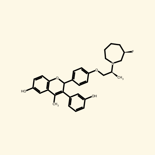 CC1=C(c2cccc(O)c2)C(c2ccc(OC[C@H](C)N3CCCC[C@@H](F)C3)cc2)Oc2ccc(O)cc21